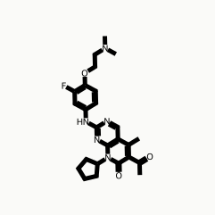 CC(=O)c1c(C)c2cnc(Nc3ccc(OCCN(C)C)c(F)c3)nc2n(C2CCCC2)c1=O